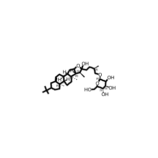 C[C@H](CCC1(O)OC2C[C@H]3[C@@H]4CC=C5CC(C(C)(C)C)CC[C@]5(C)[C@H]4CC[C@]3(C)[C@H]2[C@@H]1C)CO[C@@H]1OC(CO)[C@@H](O)[C@H](O)C1O